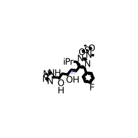 CC(C)c1nc(N(C)S(C)(=O)=O)nc(-c2ccc(F)cc2)c1/C=C/C(O)CC(O)c1nnn[nH]1